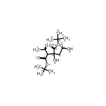 CC(=O)C(C(=O)OC(C)(C)C)C(O)(CC(=O)O)C(=O)OC(C)(C)C